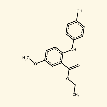 CCOC(=O)c1cc(OC)ccc1Nc1ccc(O)cc1